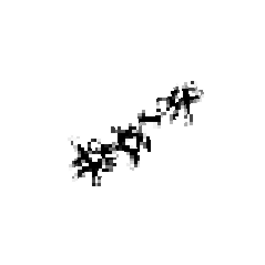 Cc1nn(CCO[Si](C)(C)C(C)(C)C)cc1B1OC(C)(C)C(C)(C)O1